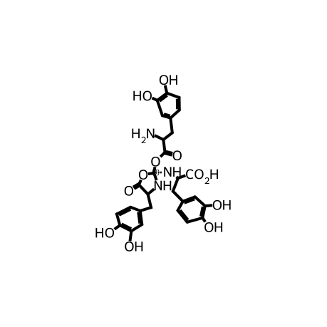 NC(Cc1ccc(O)c(O)c1)C(=O)O[C@@]1(NC(Cc2ccc(O)c(O)c2)C(=O)O)NC(Cc2ccc(O)c(O)c2)C(=O)O1